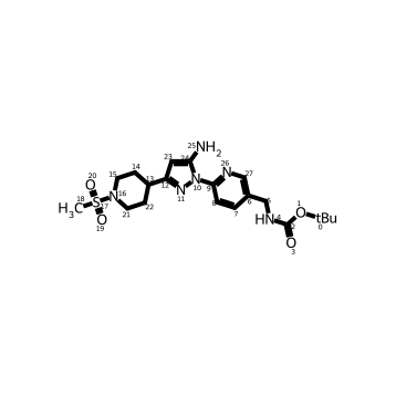 CC(C)(C)OC(=O)NCc1ccc(-n2nc(C3CCN(S(C)(=O)=O)CC3)cc2N)nc1